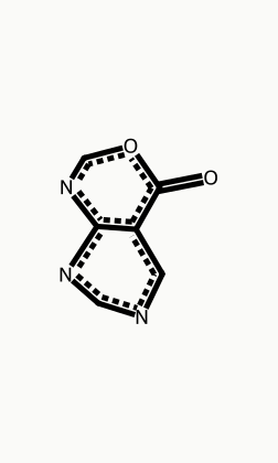 O=c1ocnc2ncncc12